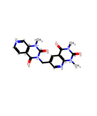 Cn1c(=O)c2cc(Cn3c(=O)c4ccncc4n(C)c3=O)cnc2n(C)c1=O